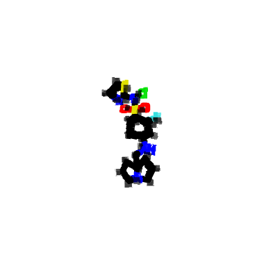 O=S(=O)(c1ccc(NCC23CCCN2CCC3)cc1F)N(Cl)c1nccs1